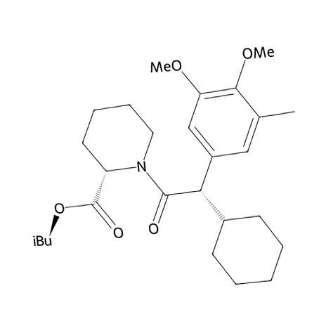 CC[C@H](C)OC(=O)[C@@H]1CCCCN1C(=O)[C@H](c1cc(C)c(OC)c(OC)c1)C1CCCCC1